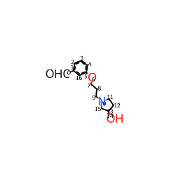 O=Cc1cccc(OCCCN2CC[C@@H](O)C2)c1